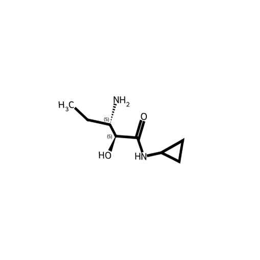 CC[C@H](N)[C@H](O)C(=O)NC1CC1